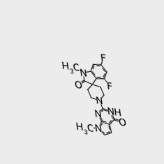 CN1C(=O)C2(CCN(c3nc4c(ccn4C)c(=O)[nH]3)CC2)c2c(F)cc(F)cc21